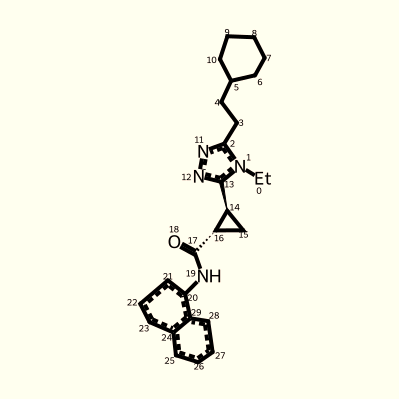 CCn1c(CCC2CCCCC2)nnc1[C@H]1C[C@@H]1C(=O)Nc1cccc2ccccc12